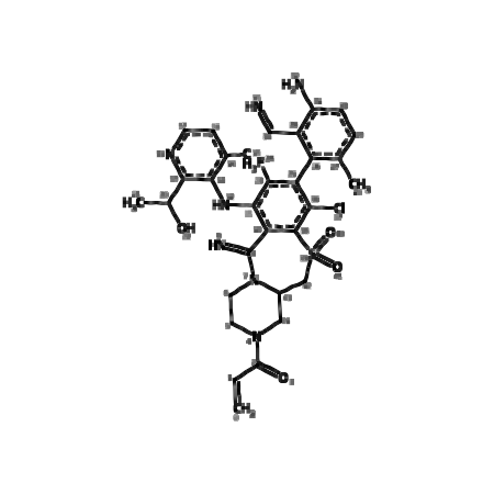 C=CC(=O)N1CCN2C(=N)c3c(Nc4c(C)ccnc4C(C)O)c(F)c(-c4c(C)ccc(N)c4C=N)c(Cl)c3S(=O)(=O)CC2C1